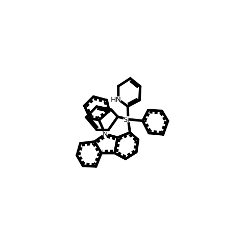 C1=CCNC([Si](c2ccccc2)(c2cccc3c4ccccc4n(-c4ccccc4)c23)C2C=CC=CC2)=C1